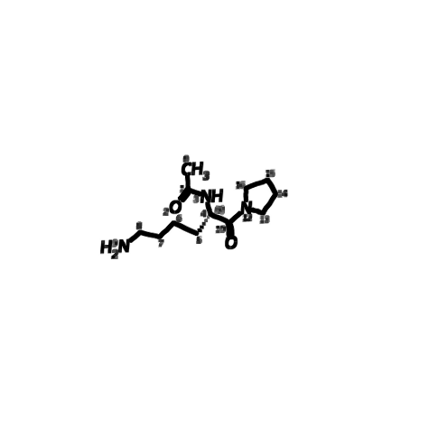 CC(=O)N[C@@H](CCCCN)C(=O)N1CCCC1